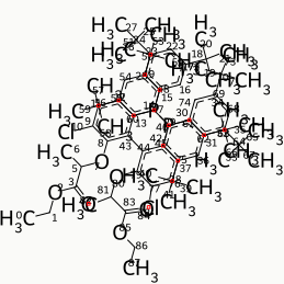 CCOC(=O)C(C)Oc1c(Cl)ccc(P(c2cc(C(C)(C)C)cc(C(C)(C)C)c2)c2cc(C(C)(C)C)cc(C(C)(C)C)c2)c1-c1c(P(c2cc(C(C)(C)C)cc(C(C)(C)C)c2)c2cc(C(C)(C)C)cc(C(C)(C)C)c2)ccc(Cl)c1OC(C)C(=O)OCC